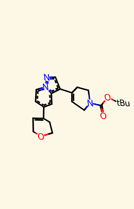 CC(C)(C)OC(=O)N1CC=C(c2cnn3ccc(C4=CCOCC4)cc23)CC1